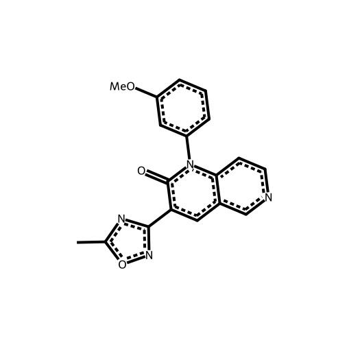 COc1cccc(-n2c(=O)c(-c3noc(C)n3)cc3cnccc32)c1